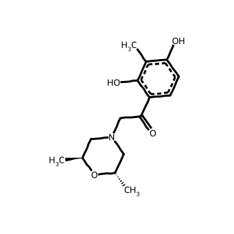 Cc1c(O)ccc(C(=O)CN2C[C@H](C)O[C@@H](C)C2)c1O